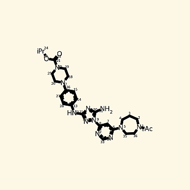 CC(=O)N1CCCN(c2cc(-n3nc(Nc4ccc(N5CCN(C(=O)OC(C)C)CC5)cc4)nc3N)ncn2)CC1